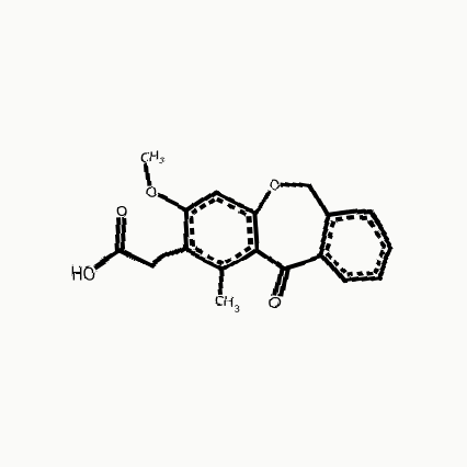 COc1cc2c(c(C)c1CC(=O)O)C(=O)c1ccccc1CO2